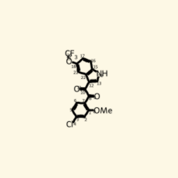 COc1cc(Cl)ccc1C(=O)C(=O)c1c[nH]c2ccc(OC(F)(F)F)cc12